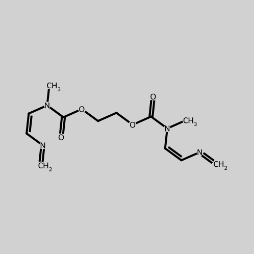 C=N/C=C\N(C)C(=O)OCCOC(=O)N(C)/C=C\N=C